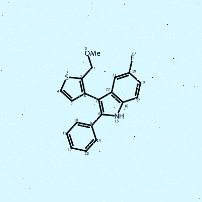 COCc1sccc1-c1c(-c2ccccc2)[nH]c2ccc(F)cc12